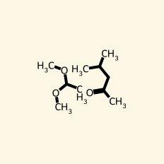 CC(=O)CC(C)C.COC(C)OC